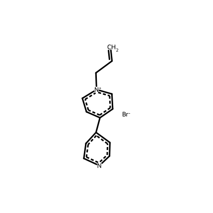 C=CC[n+]1ccc(-c2ccncc2)cc1.[Br-]